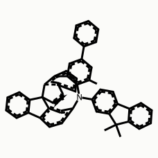 Cc1cc(-c2ccccc2)cc2c1N(c1ccc3c(c1)C(C)(C)c1ccccc1-3)c1ccc3c(c1)C1(c4ccccc4-3)c3ccccc3-c3cccc-2c31